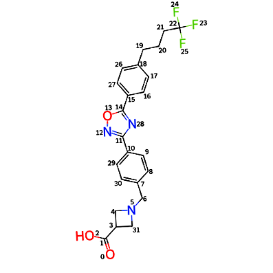 O=C(O)C1CN(Cc2ccc(-c3noc(-c4ccc(CCCC(F)(F)F)cc4)n3)cc2)C1